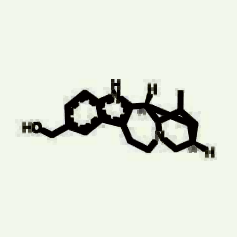 CC1C[C@H]2C[C@H]3c4[nH]c5ccc(CO)cc5c4CCN(C2)C13